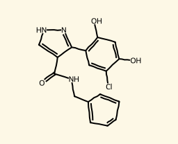 O=C(NCc1ccccc1)c1c[nH]nc1-c1cc(Cl)c(O)cc1O